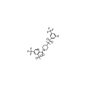 CC(C)(C1CCN(C(=O)c2ncc(C(F)(F)F)cc2S(C)(=O)=O)CC1)S(=O)(=O)c1cc(F)cc(C(F)(F)F)c1